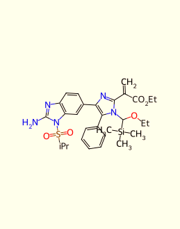 C=C(C(=O)OCC)c1nc(-c2ccc3nc(N)n(S(=O)(=O)C(C)C)c3c2)c(-c2ccccc2)n1C(OCC)[Si](C)(C)C